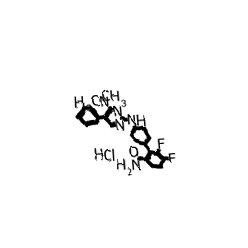 CN(C)c1nc(NC2CCC(c3c(C(N)=O)ccc(F)c3F)CC2)ncc1-c1ccccc1.Cl